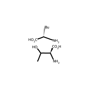 CC(O)[C@H](N)C(=O)O.CCC(C)[C@H](N)C(=O)O